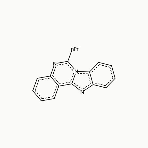 CCCc1nc2ccccc2c2nc3ccccc3n12